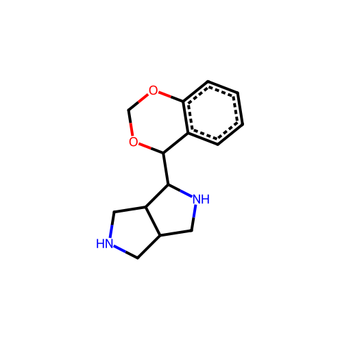 c1ccc2c(c1)OCOC2C1NCC2CNCC21